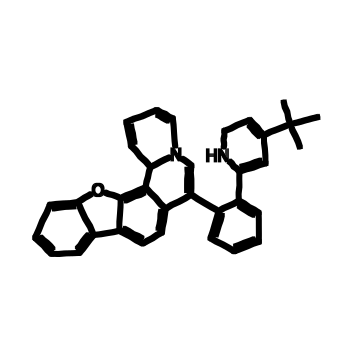 CC(C)(C)C1=CCNC(c2ccccc2C2=CN3C=CC=CC3c3c2ccc2c3oc3ccccc32)=C1